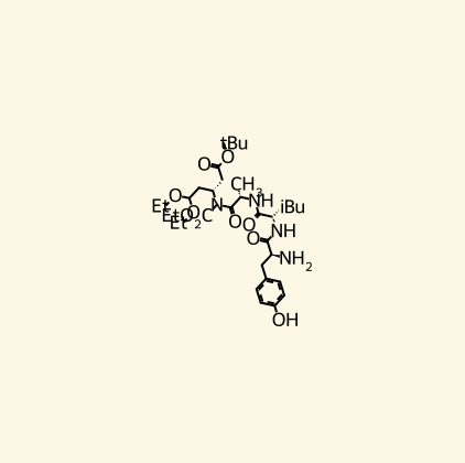 CCOC(=O)N(C(=O)[C@H](C)NC(=O)[C@@H](NC(=O)[C@@H](N)Cc1ccc(O)cc1)[C@@H](C)CC)[C@@H](CC(=O)OC(C)(C)C)CC(OCC)OCC